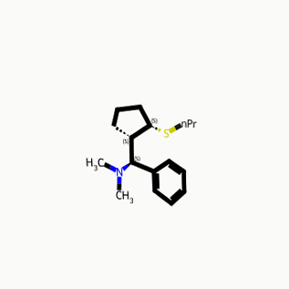 CCCS[C@H]1CCC[C@H]1[C@@H](c1ccccc1)N(C)C